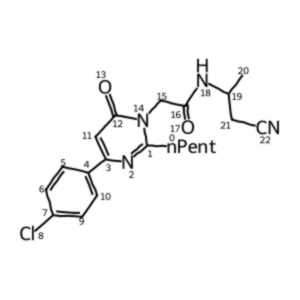 CCCCCc1nc(-c2ccc(Cl)cc2)cc(=O)n1CC(=O)NC(C)CC#N